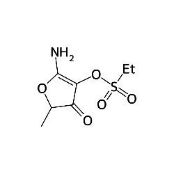 CCS(=O)(=O)OC1=C(N)OC(C)C1=O